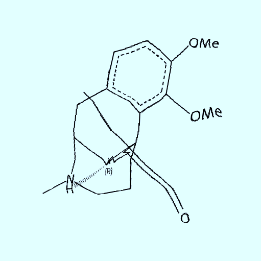 COc1ccc2c(c1OC)C13CCN(C)C(C2)[C@@H]1C=CC(=O)C3